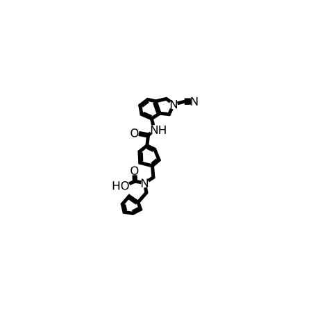 N#CN1Cc2cccc(NC(=O)c3ccc(CN(Cc4ccccc4)C(=O)O)cc3)c2C1